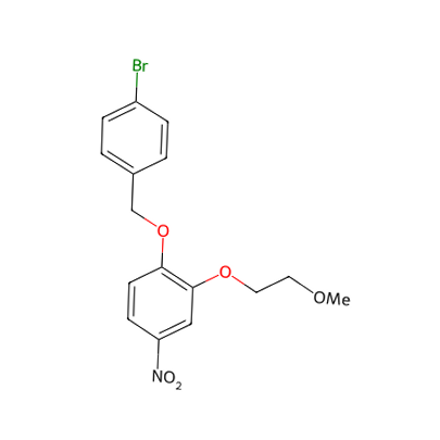 COCCOc1cc([N+](=O)[O-])ccc1OCc1ccc(Br)cc1